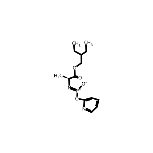 CCC(CC)COC(=O)[C@H](C)N=[P+]([O-])Oc1ccccn1